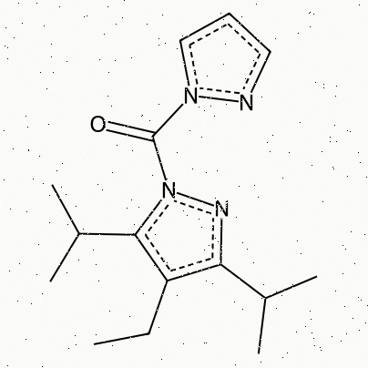 CCc1c(C(C)C)nn(C(=O)n2cccn2)c1C(C)C